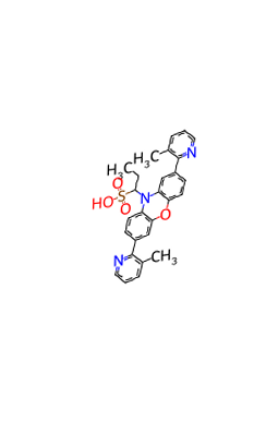 CCC(N1c2ccc(-c3ncccc3C)cc2Oc2ccc(-c3ncccc3C)cc21)S(=O)(=O)O